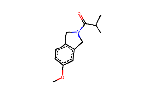 COc1ccc2c(c1)CN(C(=O)C(C)C)C2